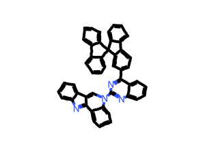 c1ccc2c(c1)-c1ccccc1C21c2ccccc2-c2ccc(-c3nc(-n4cc5c6ccccc6nc-5c5ccccc54)nc4ccccc34)cc21